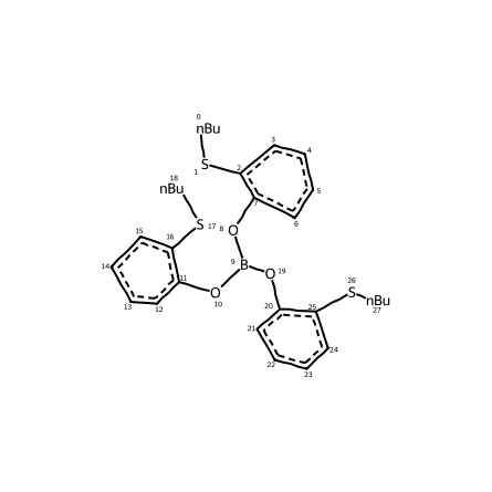 CCCCSc1ccccc1OB(Oc1ccccc1SCCCC)Oc1ccccc1SCCCC